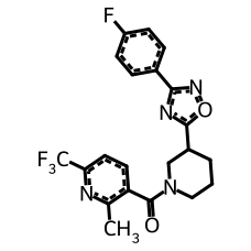 Cc1nc(C(F)(F)F)ccc1C(=O)N1CCCC(c2nc(-c3ccc(F)cc3)no2)C1